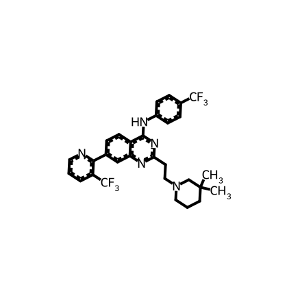 CC1(C)CCCN(CCc2nc(Nc3ccc(C(F)(F)F)cc3)c3ccc(-c4ncccc4C(F)(F)F)cc3n2)C1